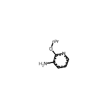 CCCOc1ncccc1N